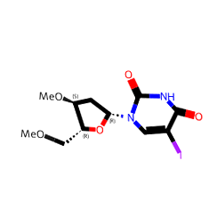 COC[C@H]1O[C@@H](n2cc(I)c(=O)[nH]c2=O)C[C@@H]1OC